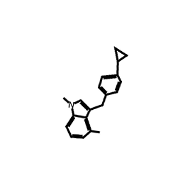 Cc1cccc2c1c(Cc1ccc(C3CC3)cc1)cn2C